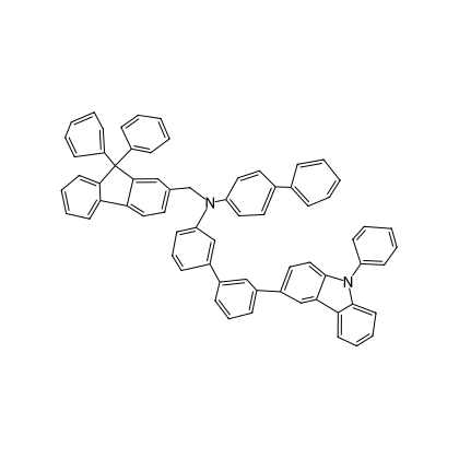 c1ccc(-c2ccc(N(Cc3ccc4c(c3)C(c3ccccc3)(c3ccccc3)c3ccccc3-4)c3cccc(-c4cccc(-c5ccc6c(c5)c5ccccc5n6-c5ccccc5)c4)c3)cc2)cc1